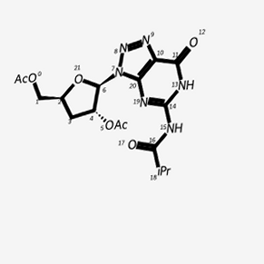 CC(=O)OC[C@@H]1C[C@@H](OC(C)=O)[C@H](n2nnc3c(=O)[nH]c(NC(=O)C(C)C)nc32)O1